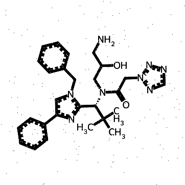 CC(C)(C)[C@H](c1nc(-c2ccccc2)cn1Cc1ccccc1)N(CC(O)CN)C(=O)Cn1ncnn1